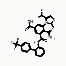 CC1SC=C(C(F)F)N1c1cc(C(=O)O)cc(C(=O)Nc2ccccc2-c2ccc(C(F)(F)F)cc2)c1C(N)=O